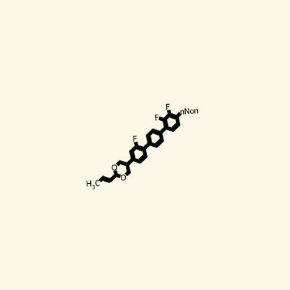 C/C=C/C1OCC(c2ccc(-c3ccc(-c4ccc(CCCCCCCCC)c(F)c4F)cc3)c(F)c2)CO1